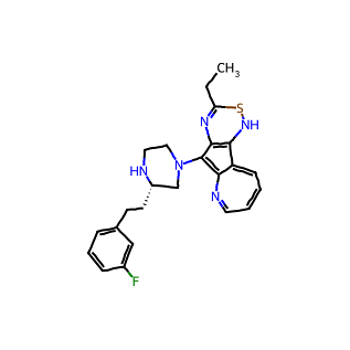 CCC1=Nc2c(c3ccccnc-3c2N2CCN[C@@H](CCc3cccc(F)c3)C2)NS1